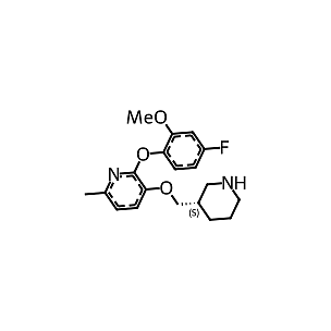 COc1cc(F)ccc1Oc1nc(C)ccc1OC[C@H]1CCCNC1